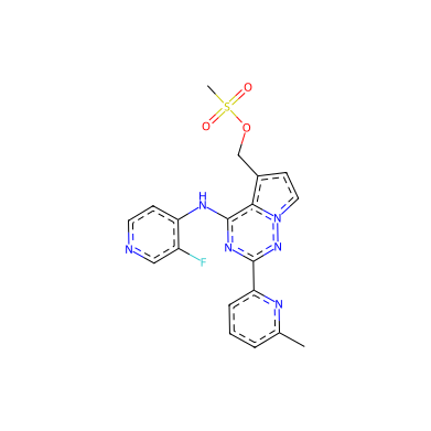 Cc1cccc(-c2nc(Nc3ccncc3F)c3c(COS(C)(=O)=O)ccn3n2)n1